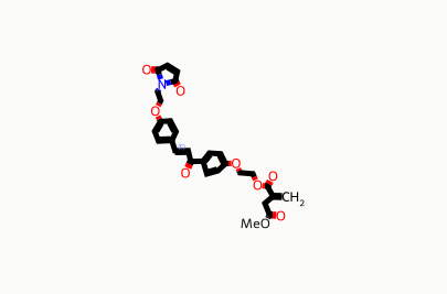 C=C(CC(=O)OC)C(=O)OCCOc1ccc(C(=O)/C=C/c2ccc(OCCN3C(=O)C=CC3=O)cc2)cc1